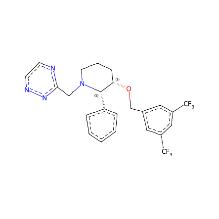 FC(F)(F)c1cc(CO[C@H]2CCCN(Cc3nccnn3)[C@H]2c2ccccc2)cc(C(F)(F)F)c1